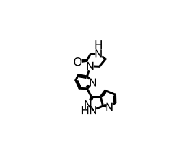 O=C1CNCCN1c1cccc(-c2n[nH]c3ncccc23)n1